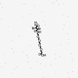 NC(=O)C(Br)C(Br)C(=O)NCCOCCOCCOCCOCCC(=O)O